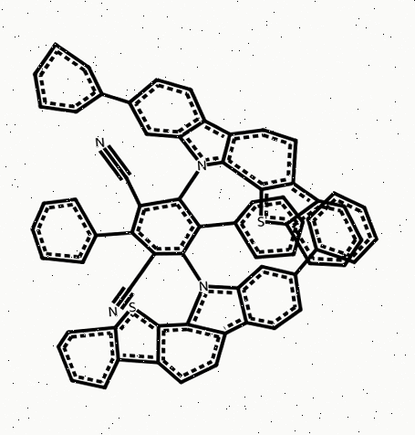 N#Cc1c(-c2ccccc2)c(C#N)c(-n2c3cc(-c4ccccc4)ccc3c3ccc4c5ccccc5sc4c32)c(-c2ccccc2)c1-n1c2cc(-c3ccccc3)ccc2c2ccc3c4ccccc4sc3c21